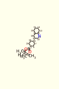 CC1(C)OB(c2ccc(-c3cnc4ccccc4c3)cc2)OC1(C)C